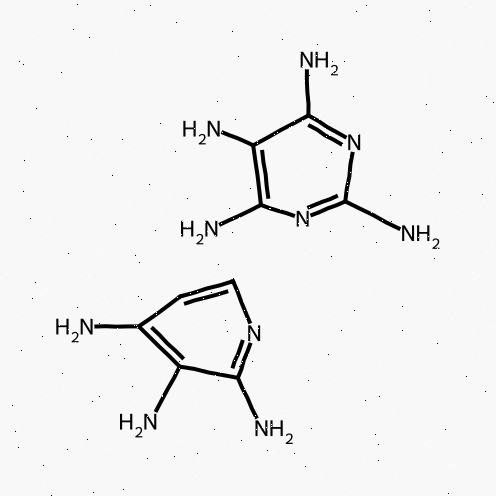 Nc1ccnc(N)c1N.Nc1nc(N)c(N)c(N)n1